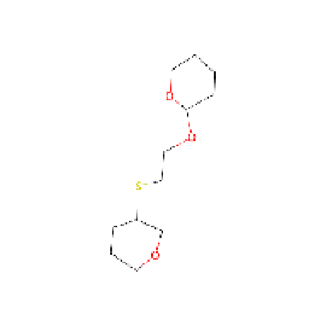 C1CCC(OCCSC2CCCOC2)OC1